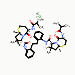 CNC(C)C(=O)N[C@H]1CCS[C@H]2CC(C)(C)[C@@H](C(=O)Nc3ccccc3CCc3ccccc3NC(=O)[C@H]3N4C(=O)[C@@H](NC(=O)C(C)NC)CCS[C@H]4CC3(C)C)N2C1=O.Cl.Cl